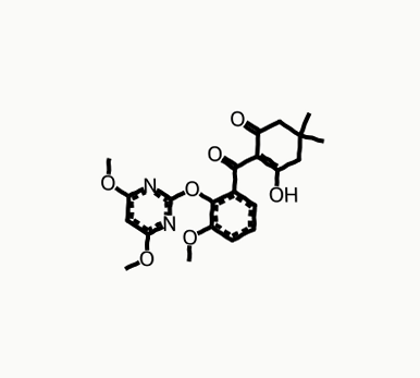 COc1cc(OC)nc(Oc2c(OC)cccc2C(=O)C2=C(O)CC(C)(C)CC2=O)n1